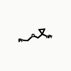 CCCC1(COCC(C)C)CC1